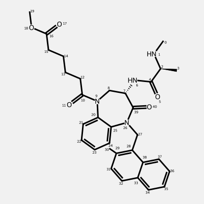 CN[C@@H](C)C(=O)N[C@H]1CN(C(=O)CCCCC(=O)OC)c2ccccc2N(Cc2c(C)ccc3ccccc23)C1=O